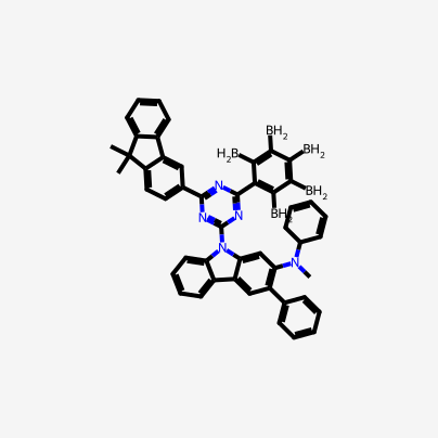 Bc1c(B)c(B)c(-c2nc(-c3ccc4c(c3)-c3ccccc3C4(C)C)nc(-n3c4ccccc4c4cc(-c5ccccc5)c(N(C)C5C=CC=CC5)cc43)n2)c(B)c1B